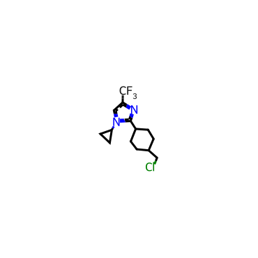 FC(F)(F)c1cn(C2CC2)c(C2CCC(CCl)CC2)n1